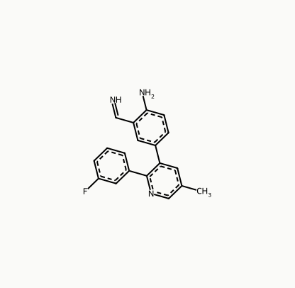 Cc1cnc(-c2cccc(F)c2)c(-c2ccc(N)c(C=N)c2)c1